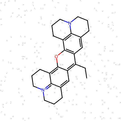 CCC1=c2cc3c4c(c2Oc2c1cc1c5c2CCCN5CCC1)CCC[N+]=4CCC3